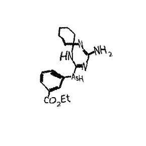 CCOC(=O)c1cccc([AsH]C2=NC(N)=NC3(CCCCC3)N2)c1